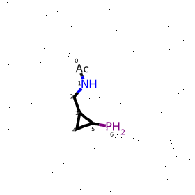 CC(=O)NCC1CC1P